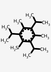 Cc1c(C(C)C)c(C)c(C(C)C)c([SiH2])c1C(C)C